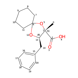 C[C@]1(C(=O)O)OC2(CCCCC2)O[C@@H]1Cc1ccccc1